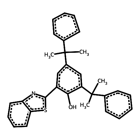 CC(C)(c1ccccc1)c1cc(-c2nc3ccccc3s2)c(O)c(C(C)(C)c2ccccc2)c1